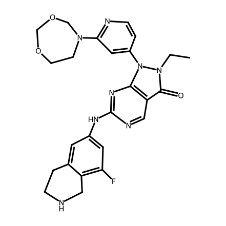 CCn1c(=O)c2cnc(Nc3cc(F)c4c(c3)CCNC4)nc2n1-c1ccnc(N2CCOCOC2)c1